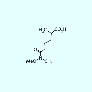 CON(C)C(=O)CCCC(C)C(=O)O